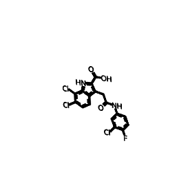 O=C(Cc1c(C(=O)O)[nH]c2c(Cl)c(Cl)ccc12)Nc1ccc(F)c(Cl)c1